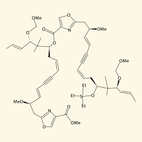 C/C=C/[C@H](OCOC)C(C)(C)[C@H](C/C=C\C#C/C=C/[C@@H](Cc1nc(C(=O)OC)co1)OC)OC(=O)c1coc(C[C@H](/C=C/C#C/C=C\C[C@H](O[Si](CC)(CC)CC)C(C)(C)[C@H](/C=C/C)OCOC)OC)n1